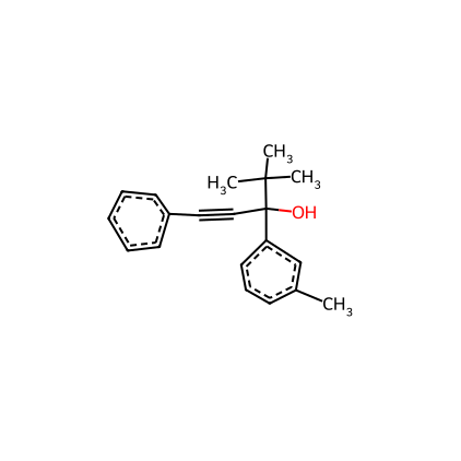 Cc1cccc(C(O)(C#Cc2ccccc2)C(C)(C)C)c1